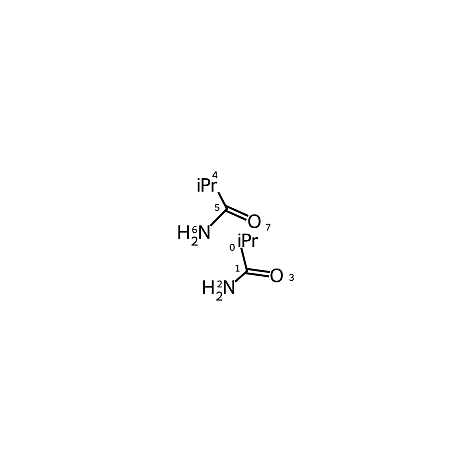 CC(C)C(N)=O.CC(C)C(N)=O